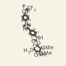 CO[C@@H]1[C@@H](OC)[C@H](C)O[C@@H](OC(=O)Nc2ccc(-c3ncn(-c4ccc(OC(F)(F)C(F)(F)F)cc4)n3)cc2)[C@@H]1OC